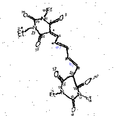 CCN1C(=O)C(=C/C=C/C=C/C2C(=O)N(CC)C(=O)N(CC)C2=O)C(=O)N(CC)C1=O